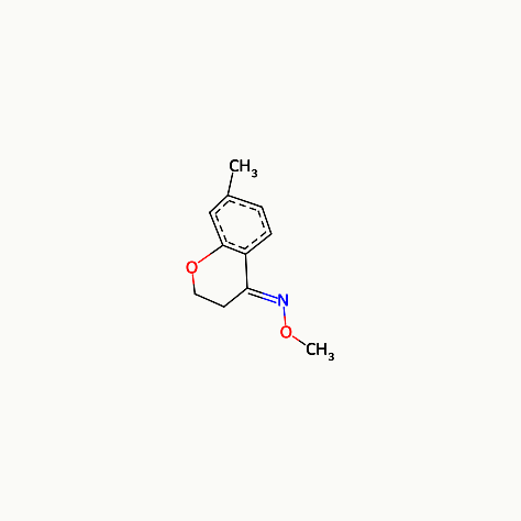 CON=C1CCOc2cc(C)ccc21